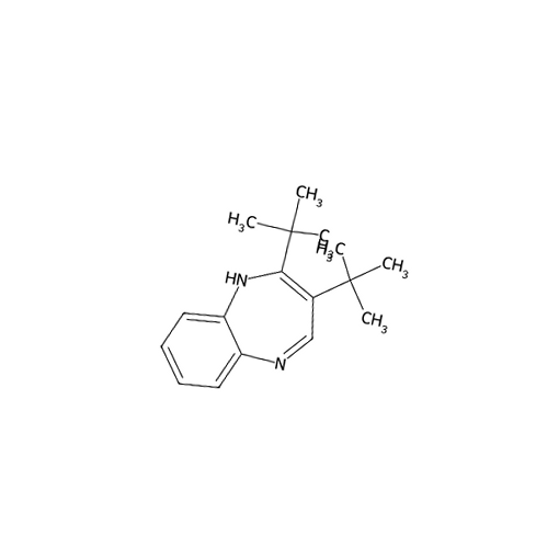 CC(C)(C)C1=C(C(C)(C)C)Nc2ccccc2N=C1